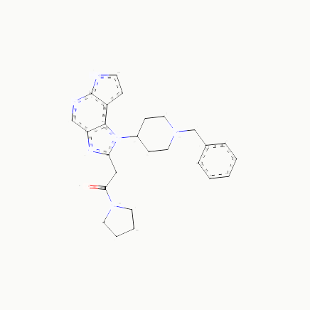 O=C(Cc1nc2cnc3[nH]ccc3c2n1C1CCN(Cc2ccccc2)CC1)N1CCCC1